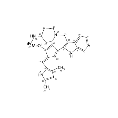 COC1=CC(c2[nH]c3ccccc3c2CN2CCC(NC(C)C)CC2)=N/C1=C\c1[nH]c(C)cc1C